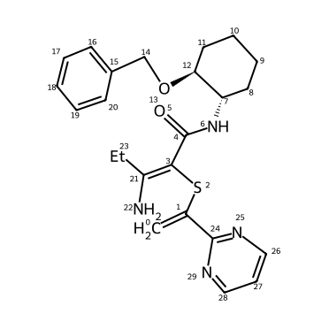 C=C(S/C(C(=O)N[C@H]1CCCC[C@@H]1OCc1ccccc1)=C(\N)CC)c1ncccn1